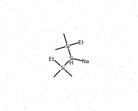 CC[Si](C)(C)[SiH]([Na])[Si](C)(C)CC